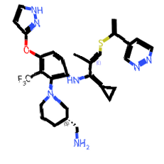 C=C(S/C=C(\C)C(Nc1ccc(Oc2cc[nH]n2)c(C(F)(F)F)c1N1CCC[C@@H](CN)C1)=C1CC1)c1ccnnc1